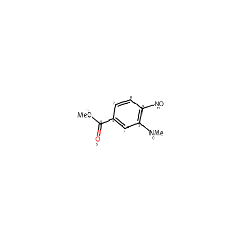 CNc1cc(C(=O)OC)ccc1N=O